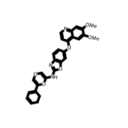 COc1cc2nccc(Oc3ccc4nc(NC5=COC=C(C6=CC=CCC6)O5)oc4c3)c2cc1OC